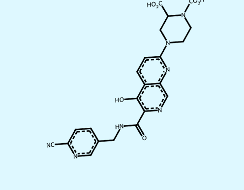 N#Cc1ccc(CNC(=O)c2ncc3nc(N4CCN(C(=O)O)C(C(=O)O)C4)ccc3c2O)cn1